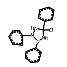 ClC1(c2ccccc2)NN(c2ccccc2)N(c2ccccc2)N1